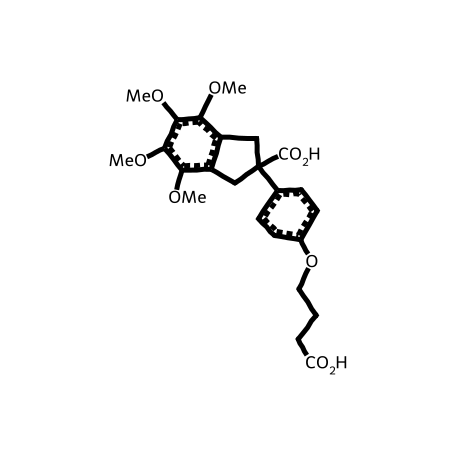 COc1c2c(c(OC)c(OC)c1OC)CC(C(=O)O)(c1ccc(OCCCC(=O)O)cc1)C2